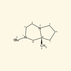 CC(C)(C)N1CCN2CCC[C@]2(C)C1